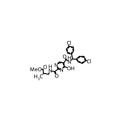 COC(=O)C(C)CNC(=O)c1ncc(C(=O)NC(c2ccc(Cl)cc2)c2ccc(Cl)cc2)c(O)n1